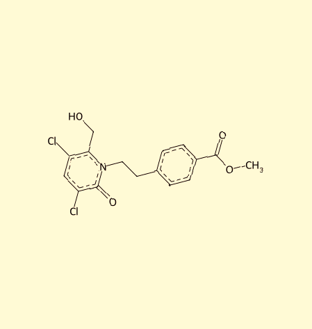 COC(=O)c1ccc(CCn2c(CO)c(Cl)cc(Cl)c2=O)cc1